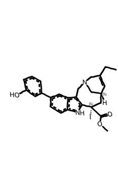 CCC1=C[C@H]2CN(C1)Cc1c([nH]c3ccc(-c4cccc(O)c4)cc13)[C@](I)(C(=O)OC)C2